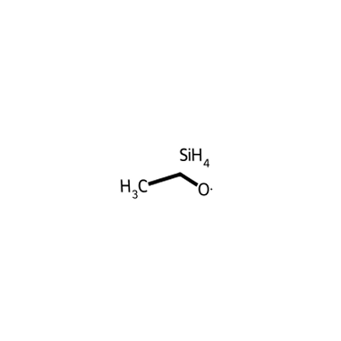 CC[O].[SiH4]